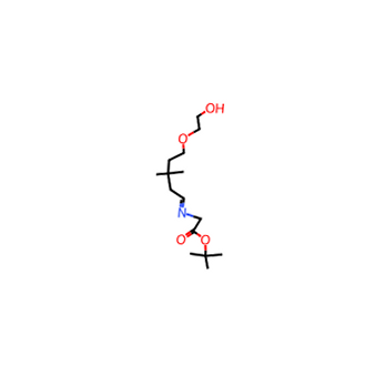 CC(C)(C/C=N/CC(=O)OC(C)(C)C)CCOCCO